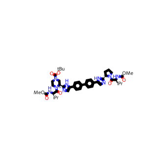 COC(=O)N[C@H](C(=O)N1CCC[C@H]1c1ncc(-c2ccc(-c3ccc(-c4cnc([C@@H]5CN(C(=O)OC(C)(C)C)CCN5C(=O)[C@@H](NC(=O)OC)C(C)C)[nH]4)cc3)cc2)[nH]1)C(C)C